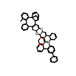 Cc1cccc2c1-c1ccccc1C1=C(C=C3OC4C=C(C5=CC=CCC5N(C5=CCCC=C5)c5ccc(-c6ccccc6)cc5C5C=CC=CC5)C=CC4OC3C1)C1C3=CC=CC21C3